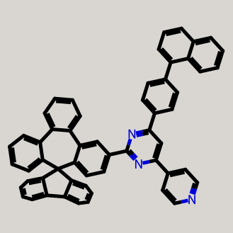 c1ccc2c(c1)-c1ccccc1C1(c3ccc(-c4nc(-c5ccncc5)cc(-c5ccc(-c6cccc7ccccc67)cc5)n4)cc3-2)c2ccccc2-c2ccccc21